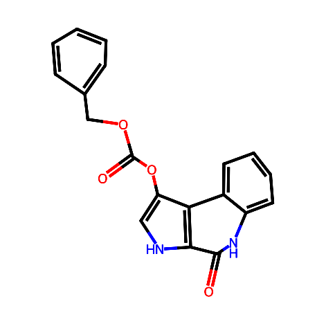 O=C(OCc1ccccc1)Oc1c[nH]c2c(=O)[nH]c3ccccc3c12